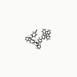 Fc1ccc(-n2c3ccccc3c3ccc(N(c4ccccc4)c4ccc(-c5ccc(C(c6ccccc6)(c6ccccc6)c6ccccc6)cc5)cc4)cc32)cc1